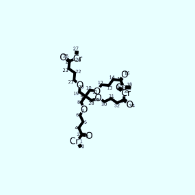 [CH2]=[Cr][C](=O)CCCOCC(COCCC[C](=O)[Cr]=[CH2])(COCCC[C](=O)[Cr]=[CH2])COCCC[C](=O)[Cr]=[CH2]